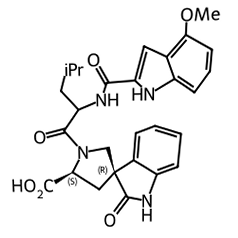 COc1cccc2[nH]c(C(=O)NC(CC(C)C)C(=O)N3C[C@]4(C[C@H]3C(=O)O)C(=O)Nc3ccccc34)cc12